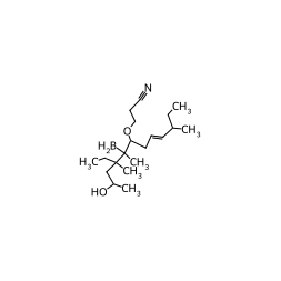 BC(C)(C(CC=CC(C)CC)OCCC#N)C(C)(CC)CC(C)O